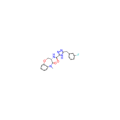 CN1C(=O)[C@@H](NC(=O)c2nnc(Cc3cccc(F)c3)[nH]2)COc2ccccc21